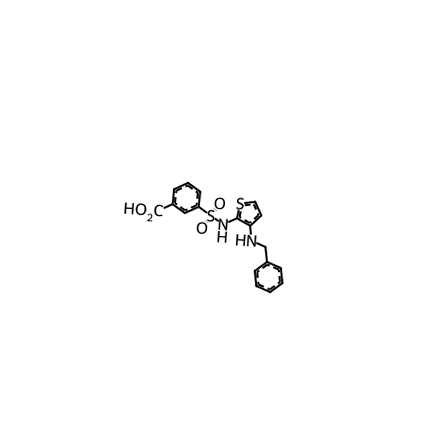 O=C(O)c1cccc(S(=O)(=O)Nc2sccc2NCc2ccccc2)c1